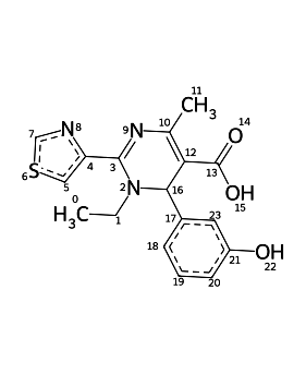 CCN1C(c2cscn2)=NC(C)=C(C(=O)O)C1c1cccc(O)c1